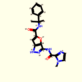 Cn1ccnc1C(=O)Nc1n[nH]c2cc(C(=O)NC(C)(C)c3ccccc3)oc12